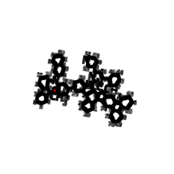 CC1(C)c2ccccc2-c2cccc(N(c3cccc(-c4ccc5c(c4)c4c6ccccc6c6c(c4n5-c4nc(-c5ccccc5)cc(-c5cccnc5)n4)C(C)(C)c4cc5c7ccccc7c7ccccc7c5cc4-6)c3)c3ccc4ccccc4c3)c21